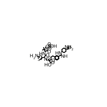 COC[C@]1(N)CC[C@@H](NC(=N)c2ccc3c(c2)C[C@H](C)[C@H]([C@](C)(O/N=C(\C(=O)N[C@@H]2C(=O)N(OS(=O)(=O)O)C2(C)C)c2csc(N)n2)C(=O)O)O3)CC1